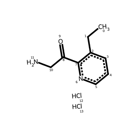 CCc1cccnc1C(=O)CN.Cl.Cl